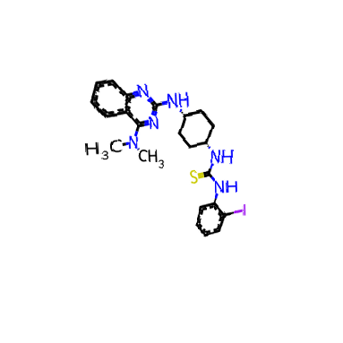 CN(C)c1nc(N[C@H]2CC[C@@H](NC(=S)Nc3ccccc3I)CC2)nc2ccccc12